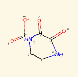 O=C1NCCNC1=O.O=CO